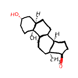 C[C@]12CCC3C(CC[C@@H]4C[C@@H](O)CC[C@]34C)[C@H]1CCC2=O